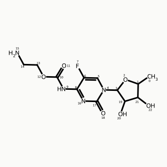 CC1OC(n2cc(F)c(NC(=O)OCCN)nc2=O)C(O)C1O